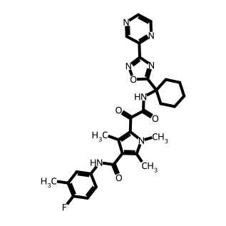 Cc1cc(NC(=O)c2c(C)c(C(=O)C(=O)NC3(c4nc(-c5cnccn5)no4)CCCCC3)n(C)c2C)ccc1F